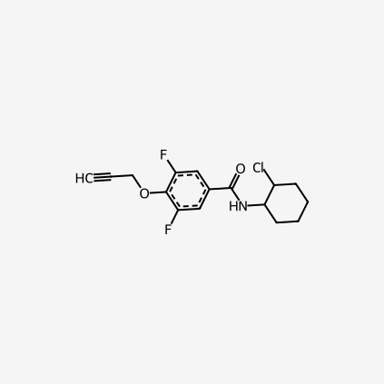 C#CCOc1c(F)cc(C(=O)NC2CCCCC2Cl)cc1F